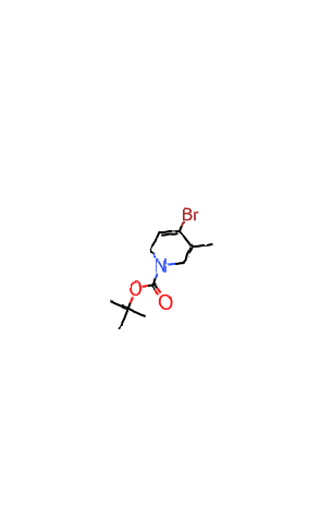 CC1CN(C(=O)OC(C)(C)C)CC=C1Br